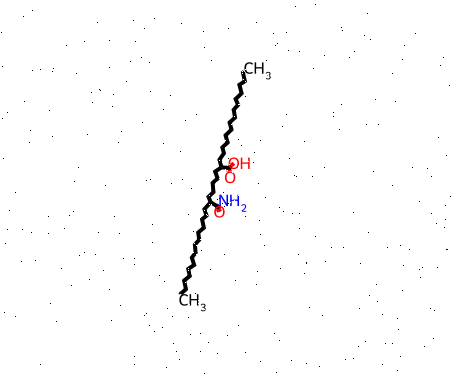 CCCCCCCCCCCCCCCCC(CCCCCC(CCCCCCCCCCCCCCCC)C(=O)O)C(N)=O